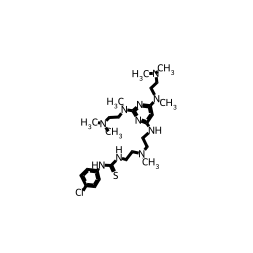 CN(C)CCN(C)c1cc(NCCN(C)CCNC(=S)Nc2ccc(Cl)cc2)nc(N(C)CCN(C)C)n1